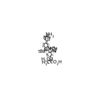 CC(C)(Oc1ccc(-c2nc3cc(-c4cnc(N)nc4)ccc3n2C(C)(C)C)c(C2N=CN=N2)c1)C(=O)O